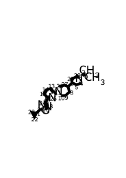 CC(C)N1CCC(C2CCCN(c3cccc(-c4noc(C5CC5)n4)n3)CC2)CC1